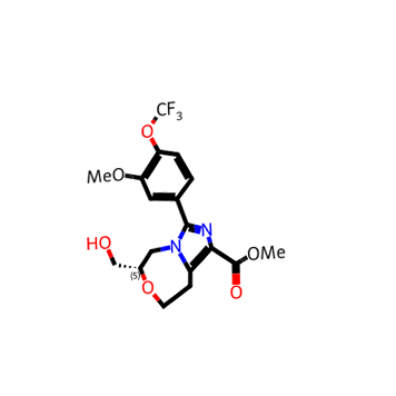 COC(=O)c1nc(-c2ccc(OC(F)(F)F)c(OC)c2)n2c1CCO[C@H](CO)C2